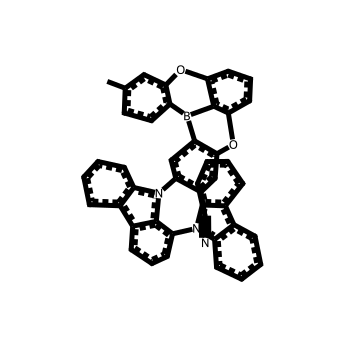 Cc1ccc2c(c1)Oc1cccc3c1B2c1cc(-n2c4ccccc4c4cccc(-n5c6ccccc6c6ccccc65)c42)c(C#N)cc1O3